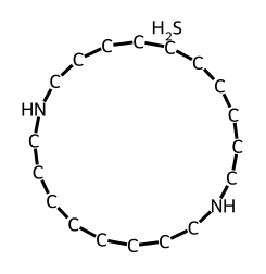 C1CCCCCNCCCCCCCCNCCCC1.S